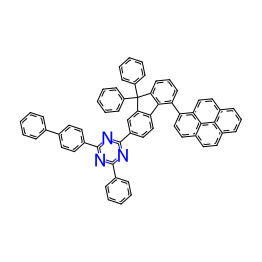 c1ccc(-c2ccc(-c3nc(-c4ccccc4)nc(-c4ccc5c(c4)C(c4ccccc4)(c4ccccc4)c4cccc(-c6ccc7ccc8cccc9ccc6c7c89)c4-5)n3)cc2)cc1